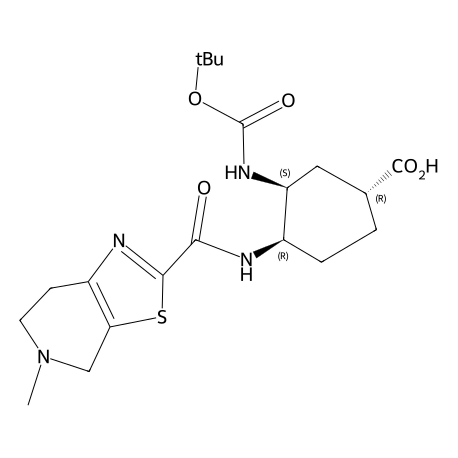 CN1CCc2nc(C(=O)N[C@@H]3CC[C@@H](C(=O)O)C[C@@H]3NC(=O)OC(C)(C)C)sc2C1